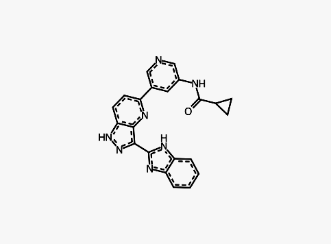 O=C(Nc1cncc(-c2ccc3[nH]nc(-c4nc5ccccc5[nH]4)c3n2)c1)C1CC1